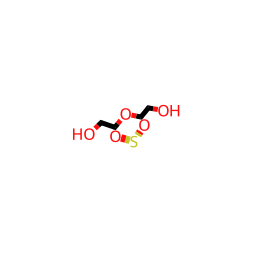 O=S=O.OCCOCCO